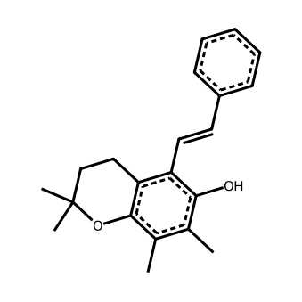 Cc1c(C)c2c(c(C=Cc3ccccc3)c1O)CCC(C)(C)O2